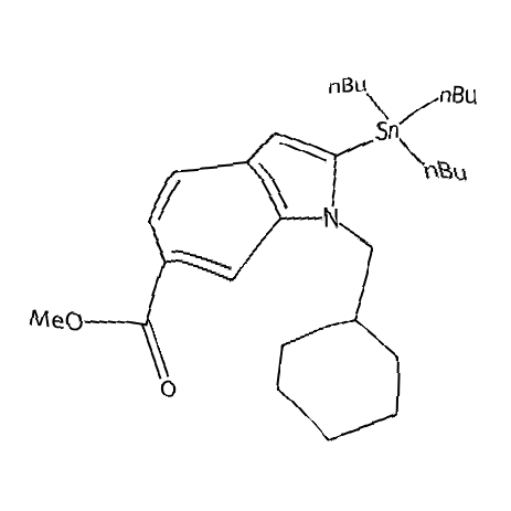 CCC[CH2][Sn]([CH2]CCC)([CH2]CCC)[c]1cc2ccc(C(=O)OC)cc2n1CC1CCCCC1